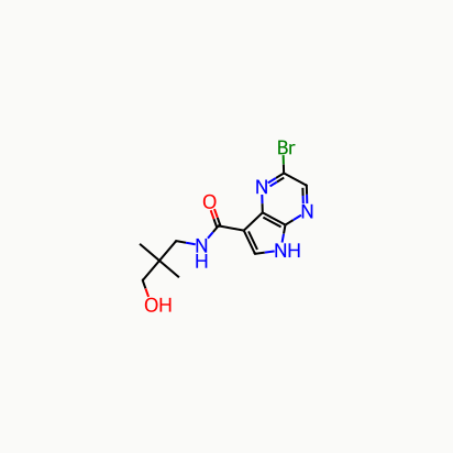 CC(C)(CO)CNC(=O)c1c[nH]c2ncc(Br)nc12